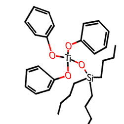 CCCC[Si](CCCC)(CCCC)[O][Ti]([O]c1ccccc1)([O]c1ccccc1)[O]c1ccccc1